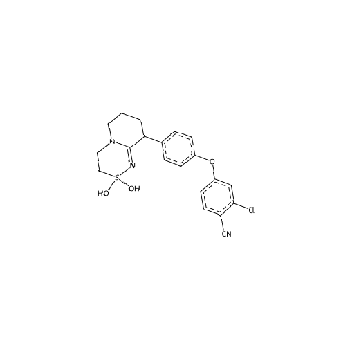 N#Cc1ccc(Oc2ccc(C3CCCN4CCS(O)(O)N=C34)cc2)cc1Cl